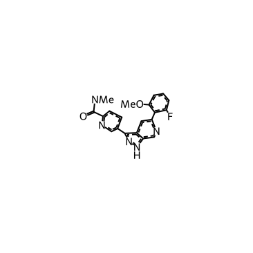 CNC(=O)c1ccc(-c2n[nH]c3cnc(-c4c(F)cccc4OC)cc23)cn1